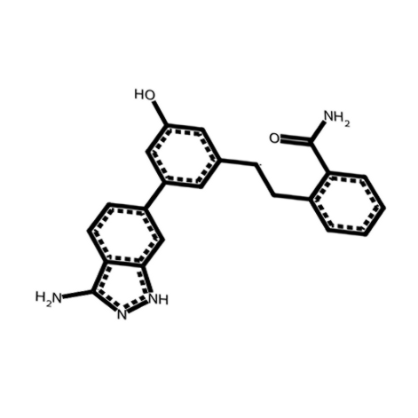 NC(=O)c1ccccc1C[CH]c1cc(O)cc(-c2ccc3c(N)n[nH]c3c2)c1